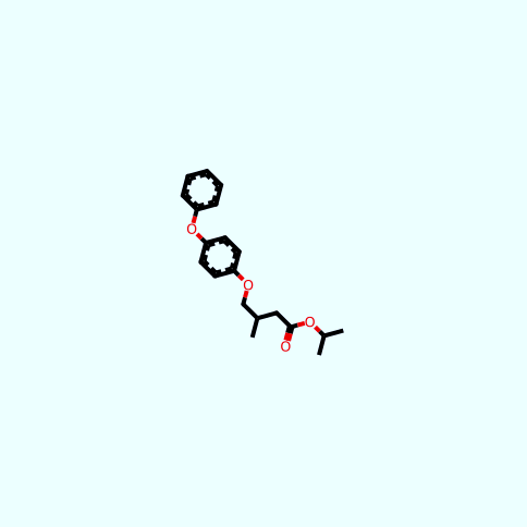 CC(COc1ccc(Oc2ccccc2)cc1)CC(=O)OC(C)C